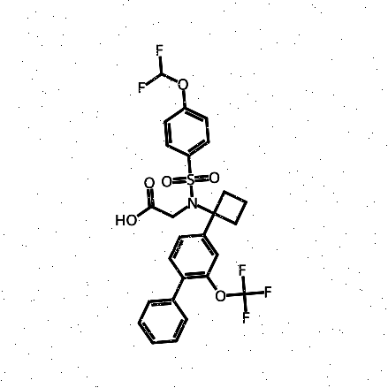 O=C(O)CN(C1(c2ccc(-c3ccccc3)c(OC(F)(F)F)c2)CCC1)S(=O)(=O)c1ccc(OC(F)F)cc1